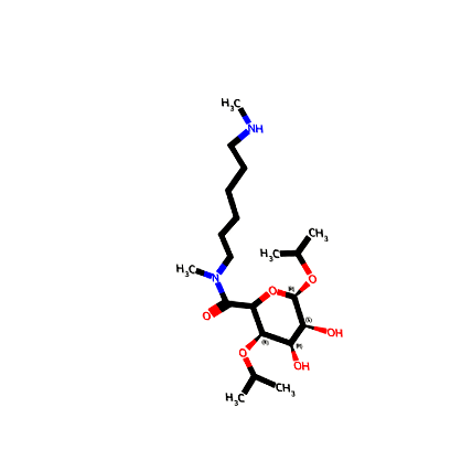 CNCCCCCCN(C)C(=O)C1O[C@@H](OC(C)C)[C@@H](O)[C@@H](O)[C@H]1OC(C)C